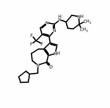 CC1(C)CCC(Nc2ncc(C(F)(F)F)c(-c3c[nH]c4c3CCCN(CC3CCCC3)C4=O)n2)CN1